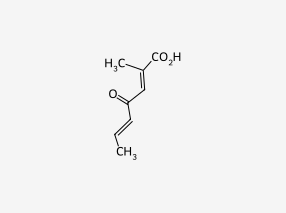 C/C=C/C(=O)C=C(C)C(=O)O